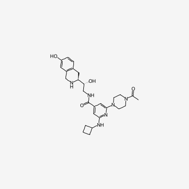 CC(=O)N1CCN(c2cc(C(=O)NC[C@@H](O)[C@@H]3Cc4ccc(O)cc4CN3)cc(NC3CCC3)n2)CC1